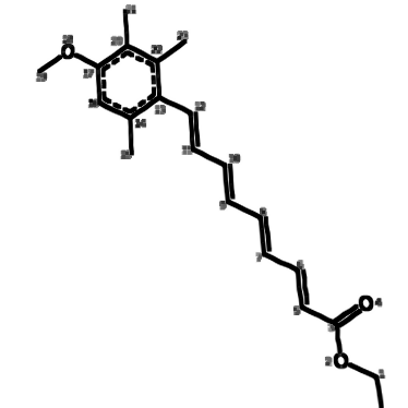 CCOC(=O)C=CC=CC=CC=Cc1c(C)cc(OC)c(C)c1C